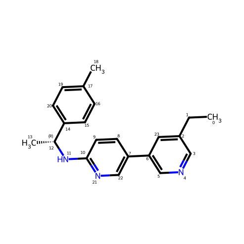 CCc1cncc(-c2ccc(N[C@H](C)c3ccc(C)cc3)nc2)c1